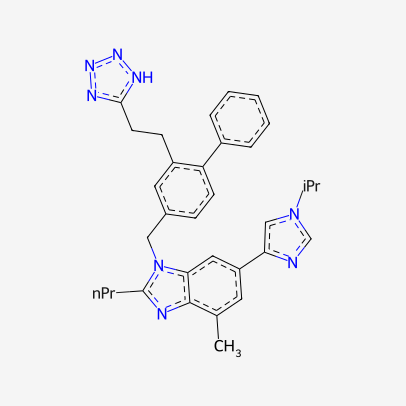 CCCc1nc2c(C)cc(-c3cn(C(C)C)cn3)cc2n1Cc1ccc(-c2ccccc2)c(CCc2nnn[nH]2)c1